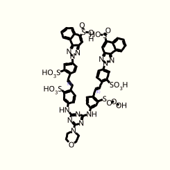 O=S(O)c1cc2nn(-c3ccc(/C=C/c4ccc(Nc5nc(Nc6ccc(/C=C/c7ccc(-n8nc9cc(S(=O)O)c%10ccccc%10c9n8)cc7S(=O)(=O)O)c(S(=O)(=O)O)c6)nc(N6CCOCC6)n5)cc4SOOO)c(S(=O)(=O)O)c3)nc2c2ccccc12